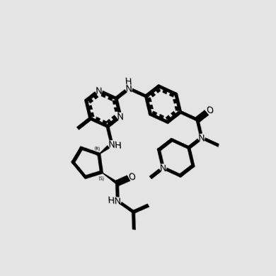 Cc1cnc(Nc2ccc(C(=O)N(C)C3CCN(C)CC3)cc2)nc1N[C@@H]1CCC[C@@H]1C(=O)NC(C)C